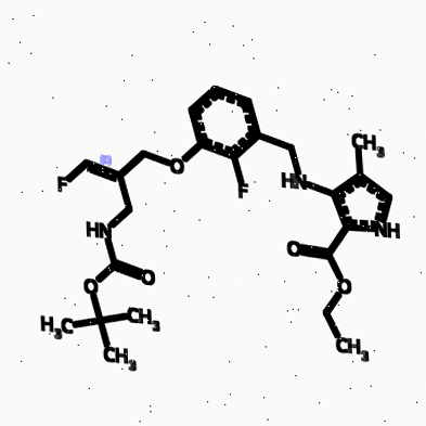 CCOC(=O)c1[nH]cc(C)c1NCc1cccc(OC/C(=C/F)CNC(=O)OC(C)(C)C)c1F